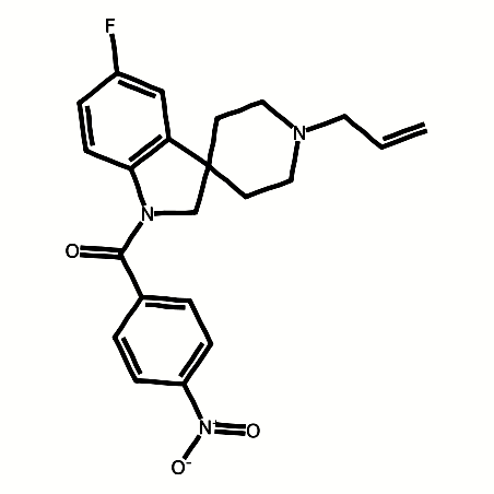 C=CCN1CCC2(CC1)CN(C(=O)c1ccc([N+](=O)[O-])cc1)c1ccc(F)cc12